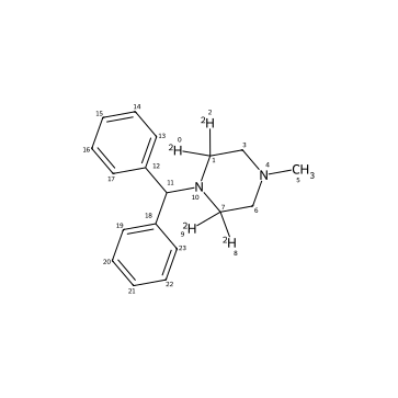 [2H]C1([2H])CN(C)CC([2H])([2H])N1C(c1ccccc1)c1ccccc1